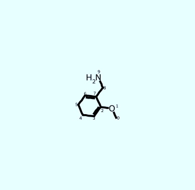 COC1=CCCC=C1CN